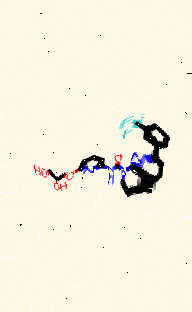 O=C(Nc1cccc(OC[C@H](O)CO)n1)N1CCCc2ccc(-c3cccc(C(F)(F)F)c3)nc21